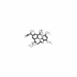 CCc1nc2c(C)cc(C)nc2n1-c1c(C(=O)OC)cc(C(C)C#N)cc1C(=O)OC